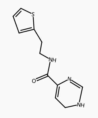 O=C(NCCc1cccs1)C1=CCNC=N1